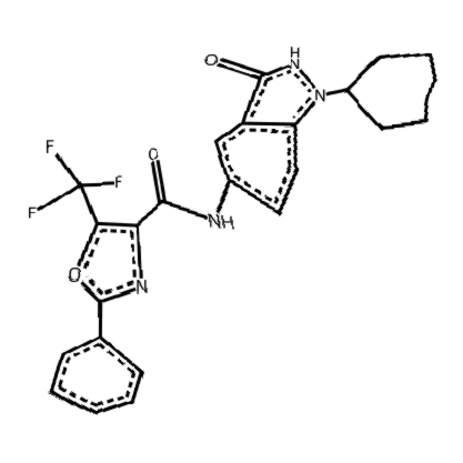 O=C(Nc1ccc2c(c1)c(=O)[nH]n2C1CCCCC1)c1nc(-c2ccccc2)oc1C(F)(F)F